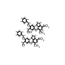 Cc1cc([N+](=O)[O-])c2c(c1Oc1ccc(OCc3ccccc3)c(CCl)c1)CCC2.Cc1cc([N+](=O)[O-])c2c(c1Oc1ccc(OCc3ccccc3)c(CO)c1)CCC2